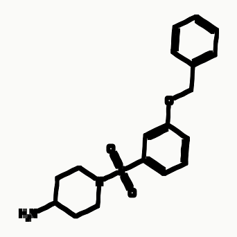 NC1CCN(S(=O)(=O)c2cccc(OCc3ccccc3)c2)CC1